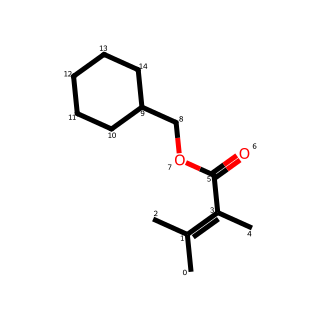 CC(C)=C(C)C(=O)OCC1CCCCC1